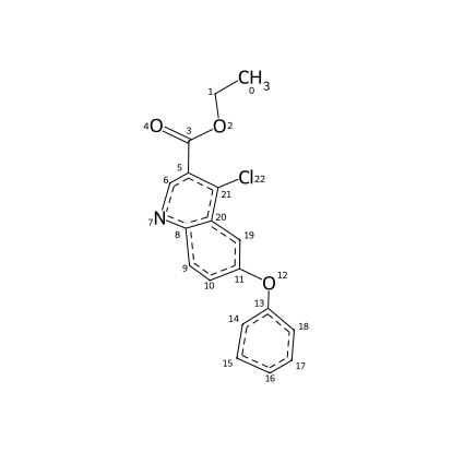 CCOC(=O)c1cnc2ccc(Oc3ccccc3)cc2c1Cl